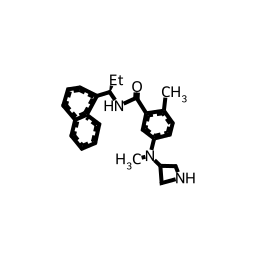 CC[C@@H](NC(=O)c1cc(N(C)C2CNC2)ccc1C)c1cccc2ccccc12